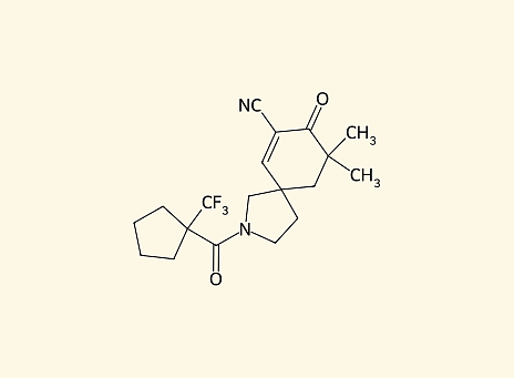 CC1(C)CC2(C=C(C#N)C1=O)CCN(C(=O)C1(C(F)(F)F)CCCC1)C2